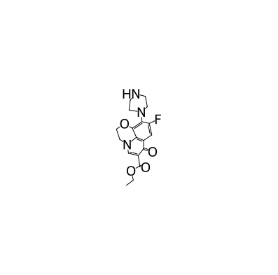 CCOC(=O)c1cn2c3c(c(N4CCNCC4)c(F)cc3c1=O)OCC2